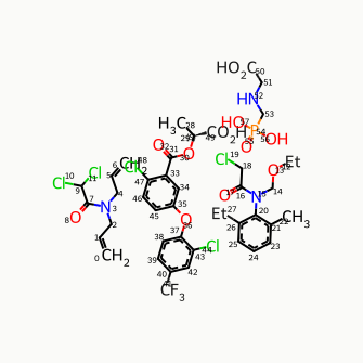 C=CCN(CC=C)C(=O)C(Cl)Cl.CCOCN(C(=O)CCl)c1c(C)cccc1CC.C[C@H](OC(=O)c1cc(Oc2ccc(C(F)(F)F)cc2Cl)ccc1Cl)C(=O)O.O=C(O)CNCP(=O)(O)O